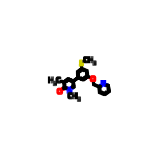 CSc1cc(OCc2ccccn2)cc(-c2cc(C)c(=O)n(C)c2)c1